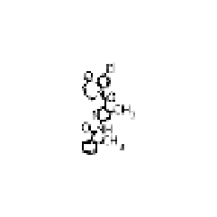 Cc1ccccc1C(=O)Nc1cc(C)c(C(=O)N2CCCC3(CO3)c3cc(Cl)ccc32)cn1